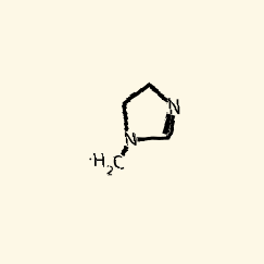 [CH2]N1C=NCC1